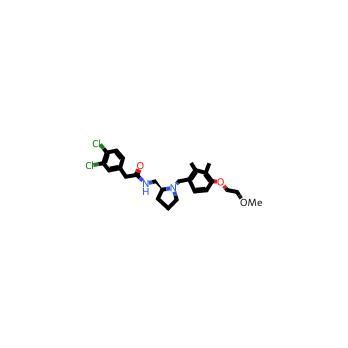 COCCOc1ccc(CN2CCC[C@H]2CNC(=O)Cc2ccc(Cl)c(Cl)c2)c(C)c1C